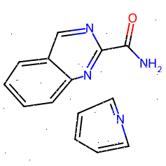 NC(=O)c1ncc2ccccc2n1.c1ccncc1